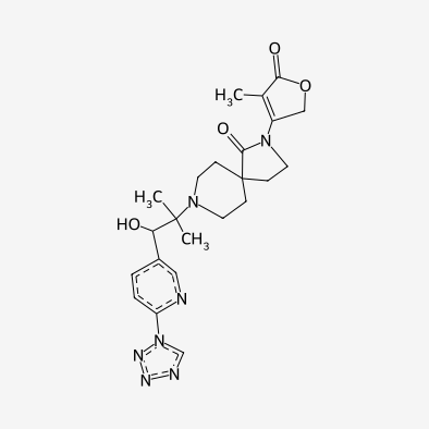 CC1=C(N2CCC3(CCN(C(C)(C)C(O)c4ccc(-n5cnnn5)nc4)CC3)C2=O)COC1=O